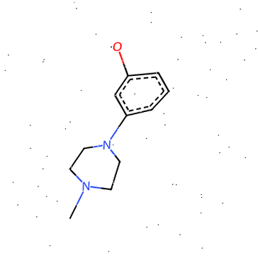 CN1CCN(c2cccc([O])c2)CC1